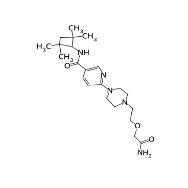 CC1(C)CC(C)(C)C1NC(=O)c1ccc(N2CCN(CCOCC(N)=O)CC2)nc1